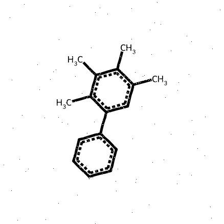 Cc1cc(-c2cc[c]cc2)c(C)c(C)c1C